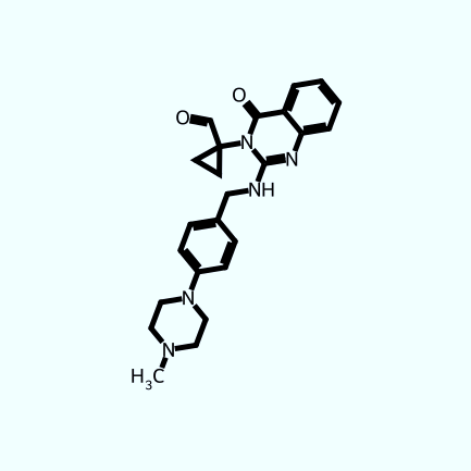 CN1CCN(c2ccc(CNc3nc4ccccc4c(=O)n3C3(C=O)CC3)cc2)CC1